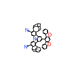 N#Cc1cc2c(c3c1C1CC4CC(C1)CC3C4)c1cc(-c3c4c(cc5oc6ccccc6c35)oc3ccccc34)cc3c4c5c(c(C#N)cc4n2c13)C1CC2CC3CC5CC23C1